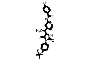 CC(c1ccnc(NC(=O)c2ccc(Cl)cc2)c1)C1NC(=O)N(c2ccc(OC(F)(F)F)cc2)C1=O